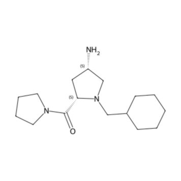 N[C@H]1C[C@@H](C(=O)N2CCCC2)N(CC2CCCCC2)C1